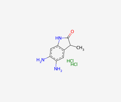 CC1C(=O)Nc2cc(N)c(N)cc21.Cl.Cl